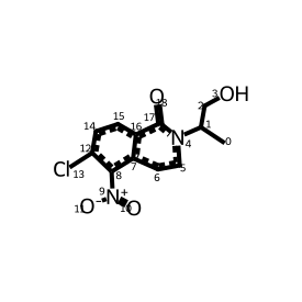 CC(CO)n1ccc2c([N+](=O)[O-])c(Cl)ccc2c1=O